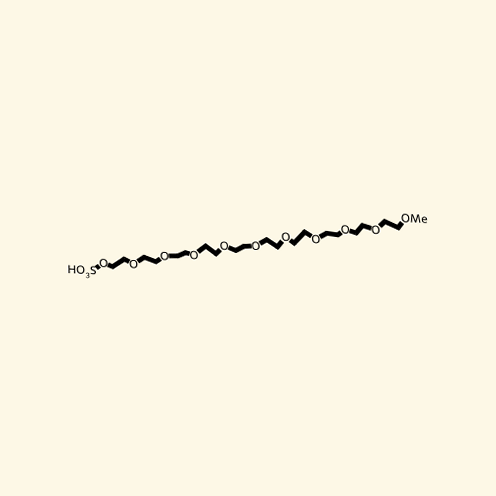 COCCOCCOCCOCCOCCOCCOCCOCCOCCOCCOS(=O)(=O)O